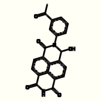 CC(=O)c1cccc(N2C(=O)c3ccc4c5c(ccc(c35)C2O)C(=O)NC4=O)c1